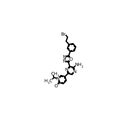 CC(C)n1cc(-c2cnc(N)c(-c3nnc(-c4cccc(CCBr)c4)o3)n2)ccc1=O